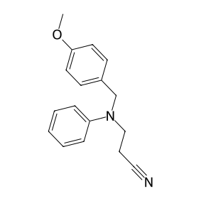 COc1ccc(CN(CCC#N)c2ccccc2)cc1